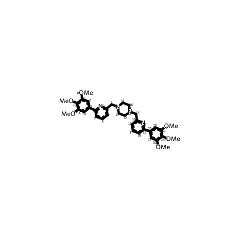 COc1cc(-c2cccc(CN3CCN(Cc4cccc(-c5cc(OC)c(OC)c(OC)c5)n4)CC3)n2)cc(OC)c1OC